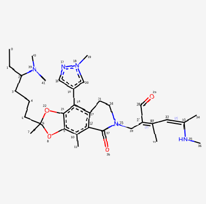 CCC(CCCC1(C)Oc2c(C)c3c(c(-c4cnn(C)c4)c2O1)CCN(C/C(C=O)=C(C)/C=C(/C)NC)C3=O)N(C)C